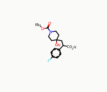 CC(C)(C)OC(=O)N1CCC(O)(CC(C(=O)O)c2ccc(F)cc2)CC1